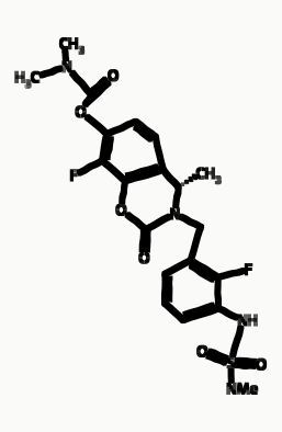 CNS(=O)(=O)Nc1cccc(CN2C(=O)Oc3c(ccc(OC(=O)N(C)C)c3F)[C@@H]2C)c1F